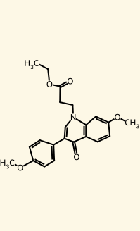 CCOC(=O)CCn1cc(-c2ccc(OC)cc2)c(=O)c2ccc(OC)cc21